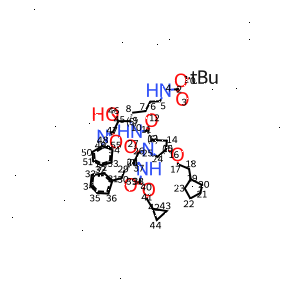 CC(C)(C)OC(=O)NCCCC[C@H](NC(=O)[C@@H]1C[C@@H](OCCC2CCCC2)CN1C(=O)[C@@H](CCc1ccccc1)NC(=O)OCC1CC1)C(O)c1nc2ccccc2o1